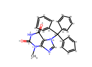 Cn1c(=O)[nH]c(=O)c2c1ncn2C(c1ccccc1)(c1ccccc1)c1ccccc1